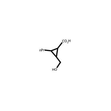 CCCC1C(CO)C1C(=O)O